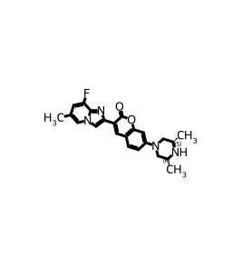 Cc1cc(F)c2nc(-c3cc4ccc(N5C[C@@H](C)N[C@@H](C)C5)cc4oc3=O)cn2c1